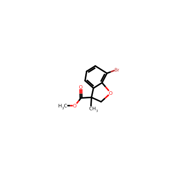 COC(=O)C1(C)COc2c(Br)cccc21